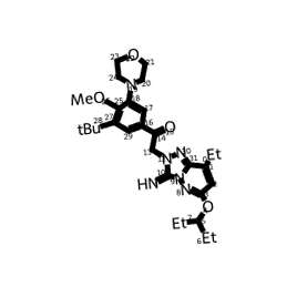 CCc1cc(OC(CC)CC)nn2c(=N)n(CC(=O)c3cc(N4CCOCC4)c(OC)c(C(C)(C)C)c3)nc12